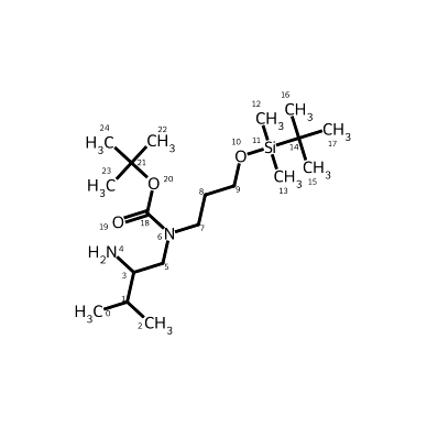 CC(C)C(N)CN(CCCO[Si](C)(C)C(C)(C)C)C(=O)OC(C)(C)C